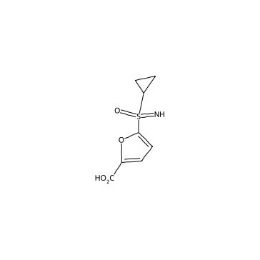 N=S(=O)(c1ccc(C(=O)O)o1)C1CC1